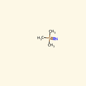 CS(C)(C)#N